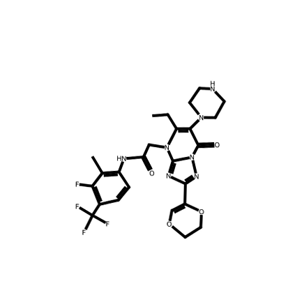 CCc1c(N2CCNCC2)c(=O)n2nc(C3=COCCO3)nc2n1CC(=O)Nc1ccc(C(F)(F)F)c(F)c1C